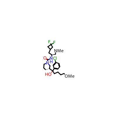 CNC[C@H](CC1CC(F)(F)C1)NC(=O)N1CCC[C@@H]([C@@](O)(CCCCOC)c2cccc(Cl)c2)C1